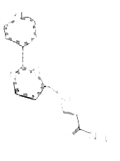 NC(=O)/C=C/Nc1ccnc(-c2ccncc2)n1